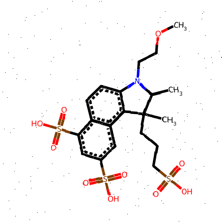 COCCN1c2ccc3c(S(=O)(=O)O)cc(S(=O)(=O)O)cc3c2C(C)(CCCS(=O)(=O)O)C1C